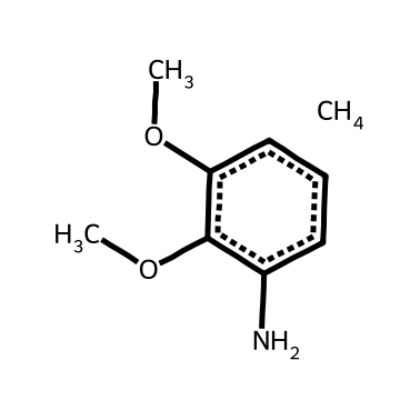 C.COc1cccc(N)c1OC